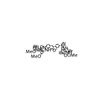 CC[C@H](C)C(NC(=O)OC)C(=O)N1C[C@@H](COC)C[C@H]1c1nc2ccc3cc4c(cc3c2[nH]1)OCc1cc(-c2cnc(CN(CC(C)C)C(=O)[C@@H](NC(=O)OC)[C@@H](C)CC)[nH]2)ccc1-4